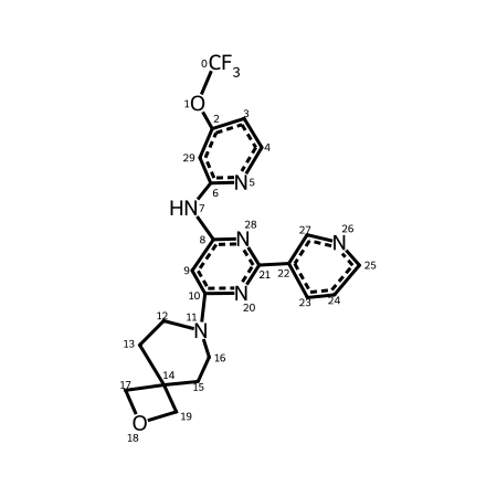 FC(F)(F)Oc1ccnc(Nc2cc(N3CCC4(CC3)COC4)nc(-c3cccnc3)n2)c1